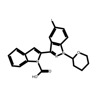 O=C(O)n1c(-c2nn(C3CCCCO3)c3ccc(I)cc23)cc2ccccc21